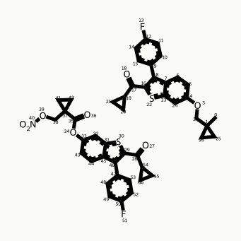 CC1(COc2ccc3c(-c4ccc(F)cc4)c(C(=O)C4CC4)sc3c2)CC1.O=C(c1sc2cc(OC(=O)C3(CO[N+](=O)[O-])CC3)ccc2c1-c1ccc(F)cc1)C1CC1